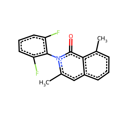 Cc1cccc2cc(C)n(-c3c(F)cccc3F)c(=O)c12